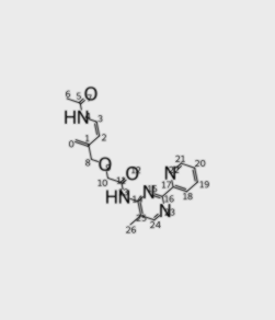 C=C(/C=C\NC(C)=O)COCC(=O)Nc1nc(-c2ccccn2)ncc1C